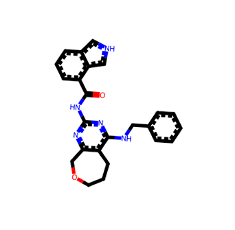 O=C(Nc1nc2c(c(NCc3ccccc3)n1)CCCOC2)c1cccc2c[nH]cc12